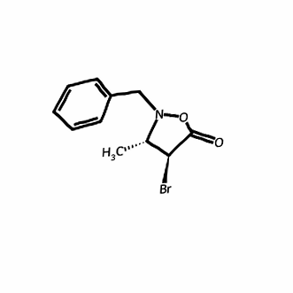 C[C@H]1[C@H](Br)C(=O)ON1Cc1ccccc1